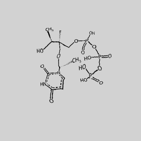 C[C@H](O)[C@@](F)(COP(=O)(O)OP(=O)(O)OP(=O)(O)O)O[C@H](C)n1ccc(=O)[nH]c1=O